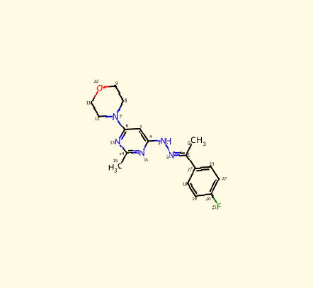 C/C(=N\Nc1cc(N2CCOCC2)nc(C)n1)c1ccc(F)cc1